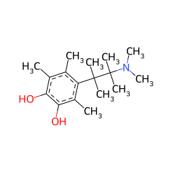 Cc1c(C)c(C(C)(C)C(C)(C)N(C)C)c(C)c(O)c1O